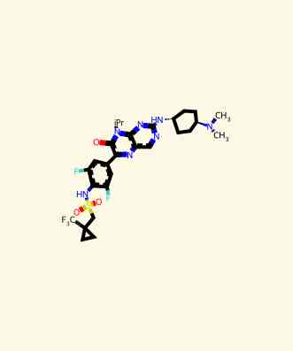 CC(C)n1c(=O)c(-c2cc(F)c(NS(=O)(=O)CC3(C(F)(F)F)CC3)c(F)c2)nc2cnc(N[C@H]3CC[C@H](N(C)C)CC3)nc21